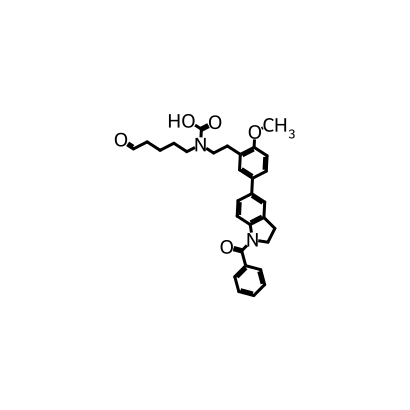 COc1ccc(-c2ccc3c(c2)CCN3C(=O)c2ccccc2)cc1CCN(CCCCC=O)C(=O)O